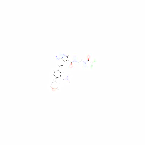 C=Nc1[nH]cc(C(=O)NCCNC(=O)C(F)F)c1/C=C(\C)c1ccc(C2CCOCC2)c(CN(C)C)c1